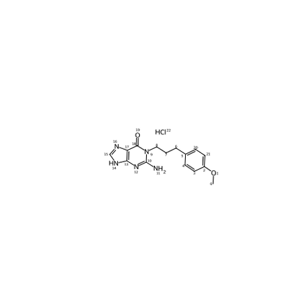 COc1ccc(CCCn2c(N)nc3[nH]cnc3c2=O)cc1.Cl